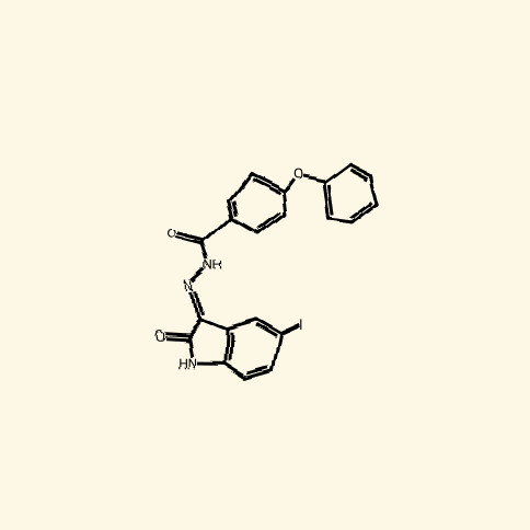 O=C1Nc2ccc(I)cc2/C1=N\NC(=O)c1ccc(Oc2ccccc2)cc1